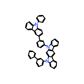 c1ccc(-c2cccc(-n3c4ccccc4c4cc5c6ccccc6n(-c6cccc(-c7ccc8c(c7)c7ccccc7n8-c7ccccc7)c6)c5cc43)c2)cc1